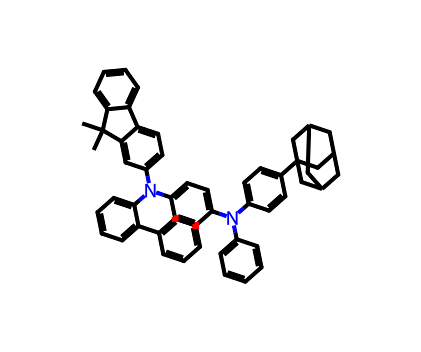 CC1(C)c2ccccc2-c2ccc(N(c3ccc(N(c4ccccc4)c4ccc(C56CC7CC(CC(C7)C5)C6)cc4)cc3)c3ccccc3-c3ccccc3)cc21